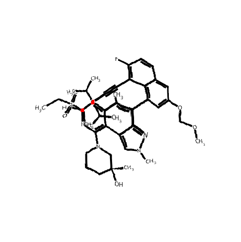 CCS(=O)(=O)c1nc(N2CCC[C@@](C)(O)C2)c2c(n1)c(C)c(-c1cc(OCOC)cc3ccc(F)c(C#C[Si](C(C)C)(C(C)C)C(C)C)c13)c1nn(C)cc12